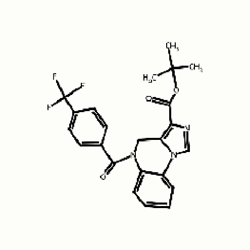 CC(C)(C)OC(=O)c1ncn2c1CN(C(=O)c1ccc(C(F)(F)F)cc1)c1ccccc1-2